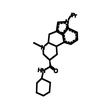 CC(C)n1cc2c3c(cccc31)C1C[C@@H](C(=O)NC3CCCCC3)CN(C)C1C2